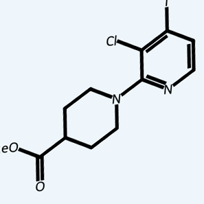 COC(=O)C1CCN(c2nccc(I)c2Cl)CC1